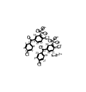 O=C(c1ccc(Cl)cc1)c1ccc(Cl)c(S(=O)(=O)[O-])c1.O=C(c1ccc(Cl)cc1)c1ccc(Cl)c(S(=O)(=O)[O-])c1.[Ca+2]